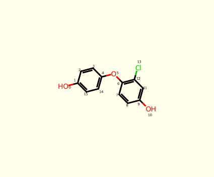 Oc1ccc(Oc2ccc(O)cc2Cl)cc1